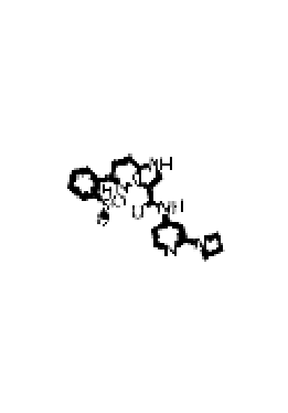 O=C(Nc1ccnc(N2CCC2)c1)C1=CNC2C=CC(c3ccccc3[SH](=O)=O)=NN12